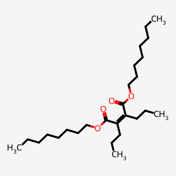 CCCCCCCCOC(=O)/C(CCC)=C(/CCC)C(=O)OCCCCCCCC